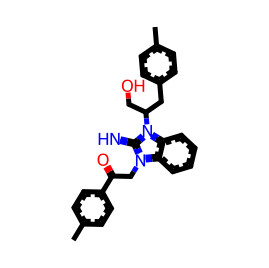 Cc1ccc(CC(CO)n2c(=N)n(CC(=O)c3ccc(C)cc3)c3ccccc32)cc1